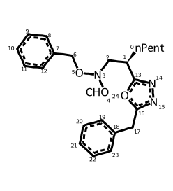 CCCCC[C@H](CN(C=O)OCc1ccccc1)c1nnc(Cc2ccccc2)o1